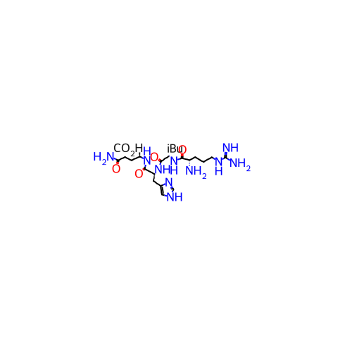 CC[C@H](C)[C@H](NC(=O)[C@@H](N)CCCNC(=N)N)C(=O)N[C@@H](Cc1c[nH]cn1)C(=O)N[C@@H](CCC(N)=O)C(=O)O